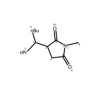 CCCCC(CCC)C1CC(=O)N(C)C1=O